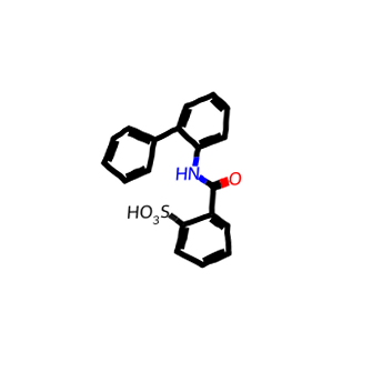 O=C(Nc1ccccc1-c1ccccc1)c1ccccc1S(=O)(=O)O